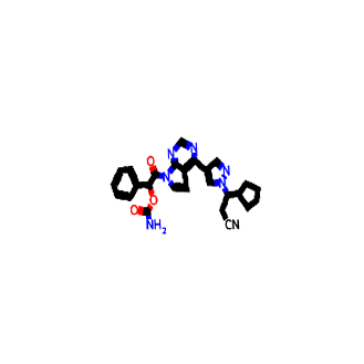 N#CCC(C1CCCC1)n1cc(-c2ncnc3c2ccn3C(=O)C(OC(N)=O)c2ccccc2)cn1